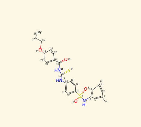 Cc1cc(C)cc(NS(=O)(=O)c2ccc(NC(=S)NC(=O)c3ccc(OCCC(C)C)cc3)cc2)c1